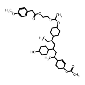 CCC(CC(CC(C)C1C=CC(OC(C)=O)CC1)C1CCC(O)CC1)C1CCC(OC(C)OCCOC(=O)Cc2ccc(OC)cc2)CC1